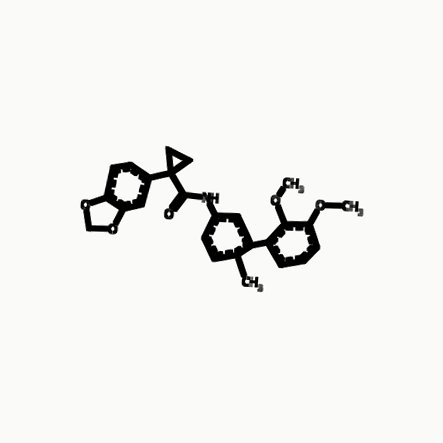 COc1cccc(-c2cc(NC(=O)C3(c4ccc5c(c4)OCO5)CC3)ccc2C)c1OC